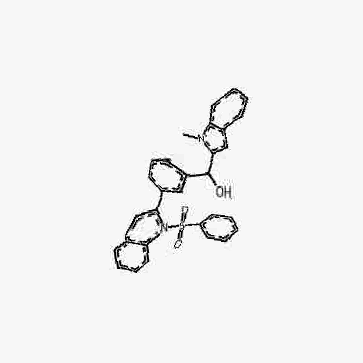 Cn1c(C(O)c2cccc(-c3cc4ccccc4n3S(=O)(=O)c3ccccc3)c2)cc2ccccc21